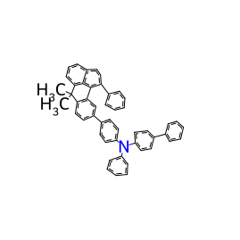 CC1(C)c2ccc(-c3ccc(N(c4ccccc4)c4ccc(-c5ccccc5)cc4)cc3)cc2-c2c(-c3ccccc3)ccc3cccc1c23